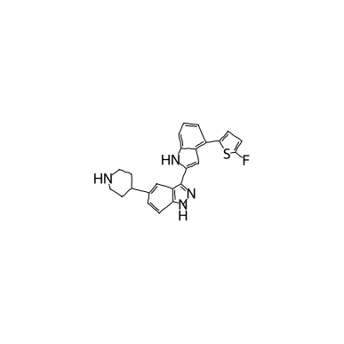 Fc1ccc(-c2cccc3[nH]c(-c4n[nH]c5ccc(C6CCNCC6)cc45)cc23)s1